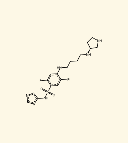 O=S(=O)(Nc1ncns1)c1cc(Br)c(NCCCCN[C@H]2CCNC2)cc1F